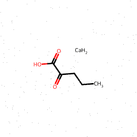 CCCC(=O)C(=O)O.[CaH2]